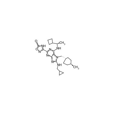 C[C@@H](Nc1nc(-c2noc(=O)[nH]2)nc2nc(NCC3CC3)n(C[C@H]3CC[C@H](C)CC3)c12)C1CCC1